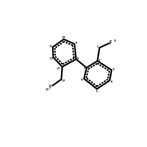 FCc1ccccc1-c1ccccc1CF